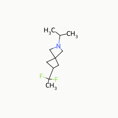 CC(C)N1CC2(CC(C(C)(F)F)C2)C1